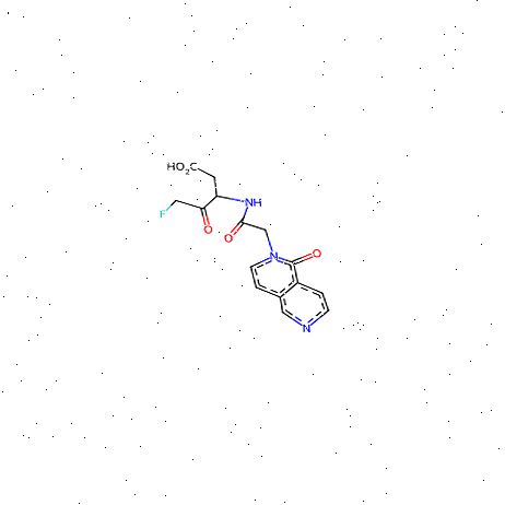 O=C(O)CC(NC(=O)Cn1ccc2cnccc2c1=O)C(=O)CF